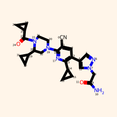 N#Cc1cc(-c2cnn(CC(N)=O)c2)c(C2CC2)nc1N1CCN(C(=O)C2CC2)C(C2CC2)C1